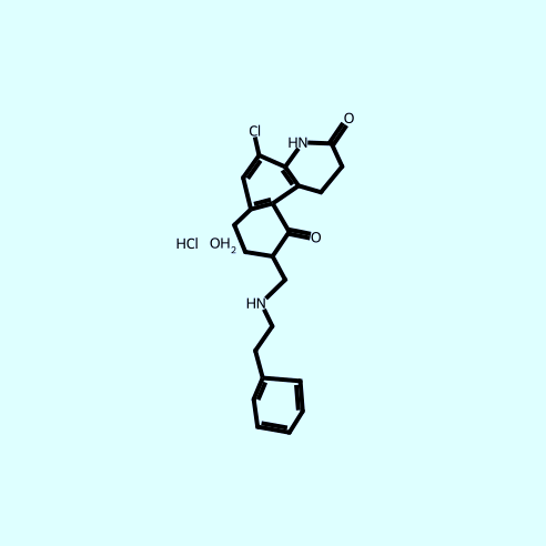 Cl.O.O=C1CCc2c(c(Cl)cc3c2C(=O)C(CNCCc2ccccc2)CC3)N1